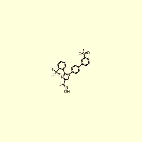 CC(=NO)c1cn(-c2ccc(-c3cccc(S(C)(=O)=O)c3)cc2)c(-c2ccccc2C(F)(F)F)n1